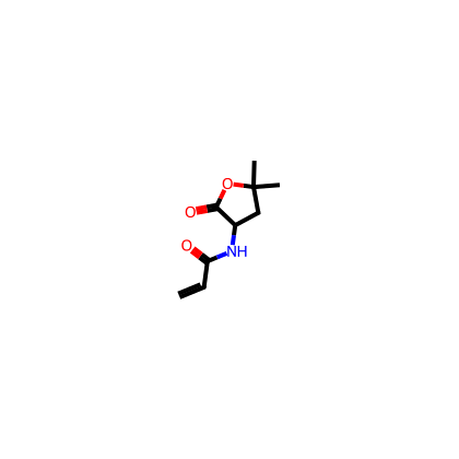 C=CC(=O)NC1CC(C)(C)OC1=O